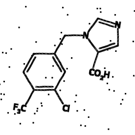 O=C(O)c1cncn1Cc1ccc(C(F)(F)F)c(Cl)c1